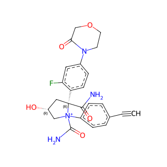 C#Cc1ccc([N+]2(C(N)=O)C[C@H](O)C[C@]2(C(N)=O)c2ccc(N3CCOCC3=O)cc2F)cc1